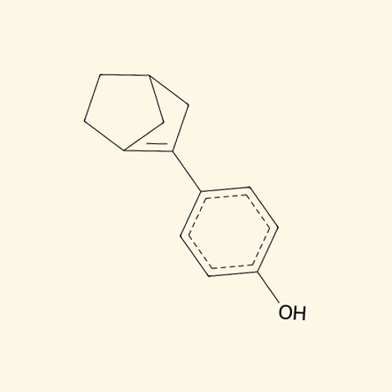 Oc1ccc(C2=C3CCC(C3)C2)cc1